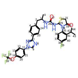 CC(Cc1ccc(-c2ncn(-c3ccc(OC(F)(F)F)cc3)n2)cc1)NC(=O)NC1SCC(=O)N1c1ccc(F)cc1C(C)C